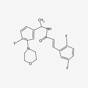 CC(NC(=O)C=Cc1cc(F)ccc1F)c1ccc(F)c(N2CCOCC2)c1